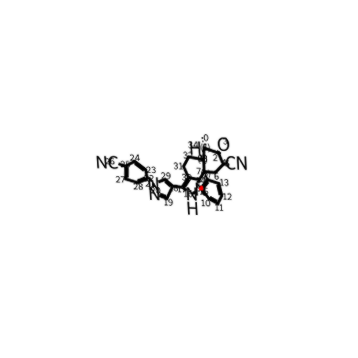 C[C@@H]1C(=O)C(C#N)C[C@]2(c3ccccc3)c3n[nH]c(-c4cnn(-c5ccc(C#N)cc5)c4)c3CC[C@@H]12